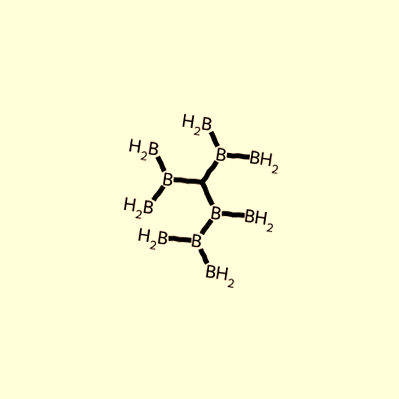 BB(B)B(B)C(B(B)B)B(B)B